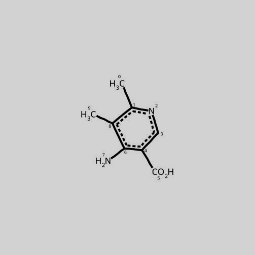 Cc1ncc(C(=O)O)c(N)c1C